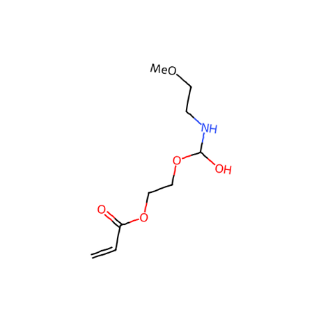 C=CC(=O)OCCOC(O)NCCOC